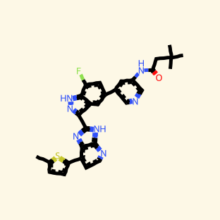 Cc1ccc(-c2ccnc3[nH]c(-c4n[nH]c5c(F)cc(-c6cncc(NC(=O)CC(C)(C)C)c6)cc45)nc23)s1